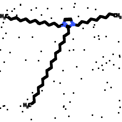 CCCCCCCCCCCCCCCCCCc1n(CCCCCCCCC)cc[n+]1CCCCCCCCCCCC